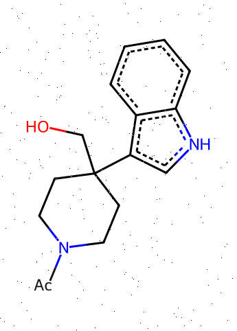 CC(=O)N1CCC(CO)(c2c[nH]c3ccccc23)CC1